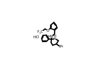 CC(C)C1CCC(NCc2ccccc2OCC(F)(F)F)(c2ccccc2)NC1.Cl